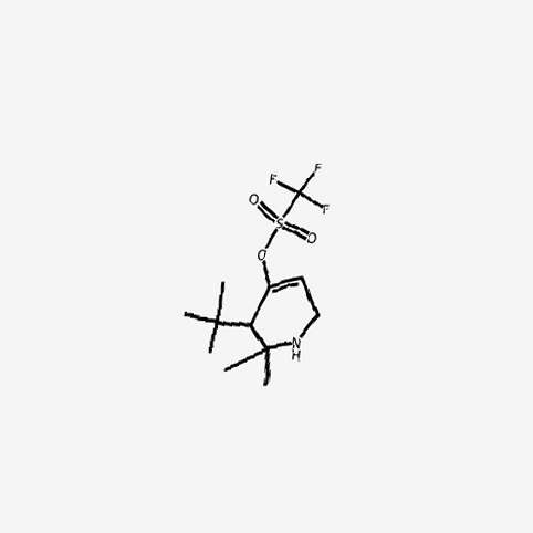 CC(C)(C)C1C(OS(=O)(=O)C(F)(F)F)=CCNC1(C)C